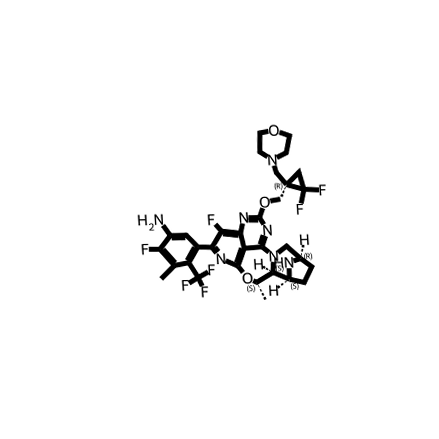 Cc1c(F)c(N)cc(-c2nc3c4c(nc(OC[C@]5(CN6CCOCC6)CC5(F)F)nc4c2F)N2C[C@H]4CC[C@H](N4)[C@H]2[C@H](C)O3)c1C(F)(F)F